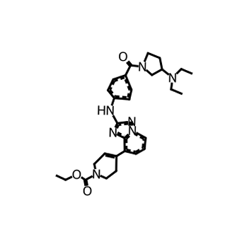 CCOC(=O)N1CC=C(c2cccn3nc(Nc4ccc(C(=O)N5CCC(N(CC)CC)C5)cc4)nc23)CC1